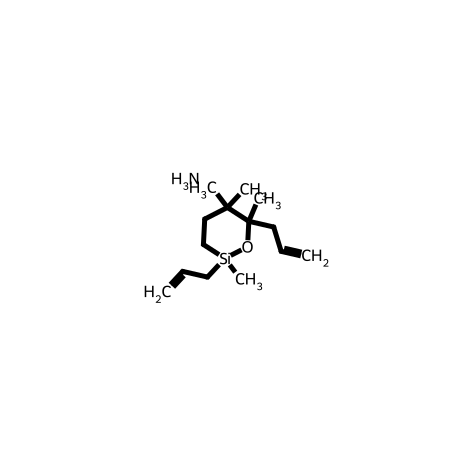 C=CCC1(C)O[Si](C)(CC=C)CCC1(C)C.N